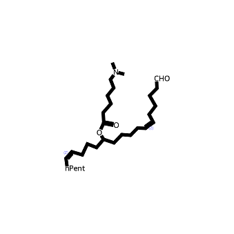 CCCCC/C=C\CCCC(CCCC/C=C\CCCCC=O)OC(=O)CCCCCN(C)C